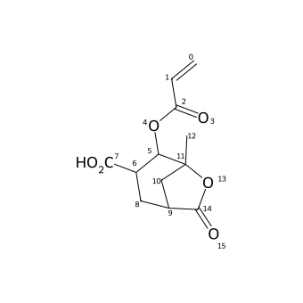 C=CC(=O)OC1C(C(=O)O)CC2CC1(C)OC2=O